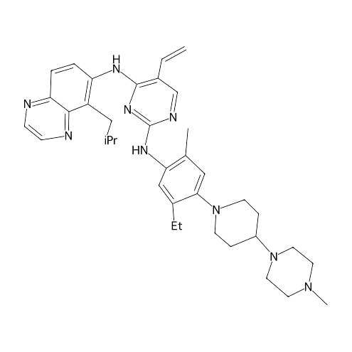 C=Cc1cnc(Nc2cc(CC)c(N3CCC(N4CCN(C)CC4)CC3)cc2C)nc1Nc1ccc2nccnc2c1CC(C)C